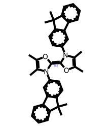 CC1=C(C)N(c2ccc3c(c2)-c2ccccc2C3(C)C)/C(=C2\OC(C)=C(C)N2c2ccc3c(c2)-c2ccccc2C3(C)C)O1